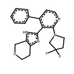 FC1(F)CCN(c2nccc(-c3ccccc3)c2-c2nc3c([nH]2)COCC3)C1